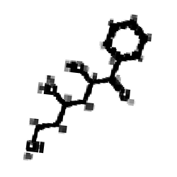 O=C(c1ccccc1)C(O)CC(O)CCO